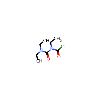 CCN(CC)C(=O)N(CC)C(=O)Cl